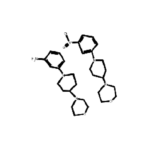 Nc1cccc(N2CCC(N3CCOCC3)CC2)c1.O=[N+]([O-])c1cccc(N2CCC(N3CCOCC3)CC2)c1